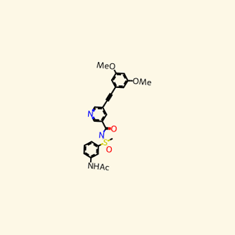 COc1cc(C#Cc2cncc(C(=O)N=S(C)(=O)c3cccc(NC(C)=O)c3)c2)cc(OC)c1